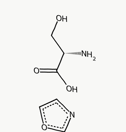 N[C@@H](CO)C(=O)O.c1cocn1